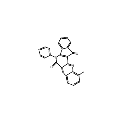 Cc1cccc2cc3c(=O)n(-c4ccccc4)c4c(c3nc12)C(=O)c1ccccc1-4